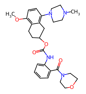 COc1ccc(N2CCN(C)CC2)c2c1CCC(OC(=O)Nc1ccccc1C(=O)N1CCOCC1)C2